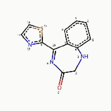 O=C1CNc2ccccc2C(c2nccs2)=N1